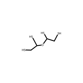 SCC(S)OC(S)CS